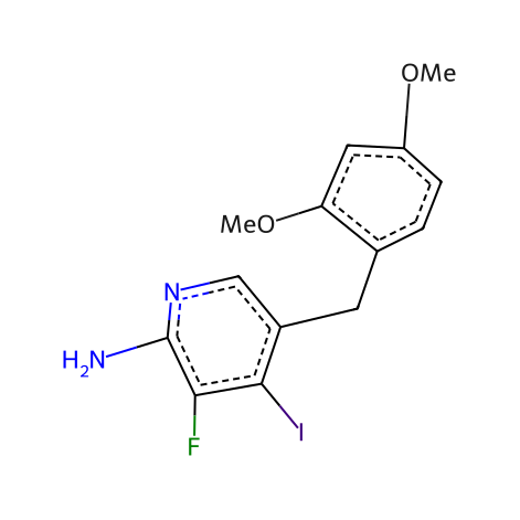 COc1ccc(Cc2cnc(N)c(F)c2I)c(OC)c1